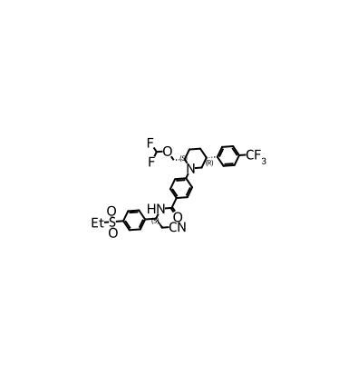 CCS(=O)(=O)c1ccc([C@H](CC#N)NC(=O)c2ccc(N3C[C@@H](c4ccc(C(F)(F)F)cc4)CC[C@H]3COC(F)F)cc2)cc1